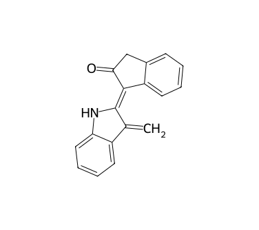 C=c1/c(=C2/C(=O)Cc3ccccc32)[nH]c2ccccc12